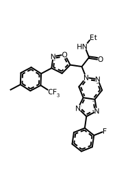 CCNC(=O)C(c1cc(-c2ccc(C)cc2C(F)(F)F)no1)n1cc2nc(-c3ccccc3F)nc-2cn1